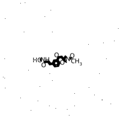 CC(=O)N1CC2(CC(=O)c3cc(C=CC(=O)NO)ccc3O2)C1